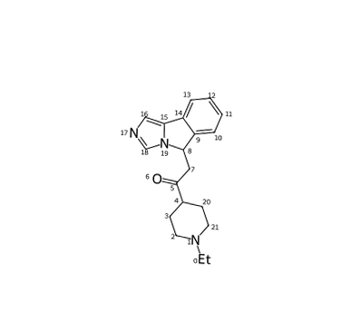 [CH2]CN1CCC(C(=O)CC2c3ccccc3-c3cncn32)CC1